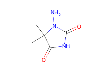 CC1(C)C(=O)NC(=O)N1N